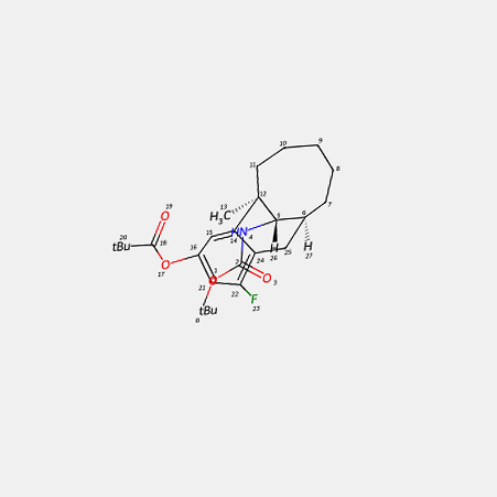 CC(C)(C)OC(=O)N[C@H]1[C@H]2CCCCC[C@]1(C)c1cc(OC(=O)C(C)(C)C)cc(F)c1C2